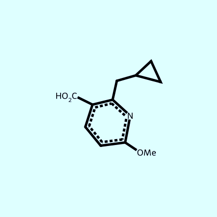 COc1ccc(C(=O)O)c(CC2CC2)n1